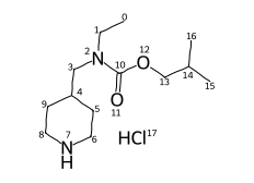 CCN(CC1CCNCC1)C(=O)OCC(C)C.Cl